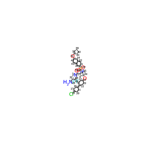 NC1CCN(C(=O)[C@@H]2C[C@@H](Oc3ccc(-c4ccc(Cl)cc4)cc3)CCN2S(=O)(=O)c2ccc3cc(OC4CCCC4)ccc3c2)CC1(F)F